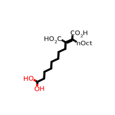 CCCCCCCCC(C(=O)O)=C(CCCCCCCC(O)O)C(=O)O